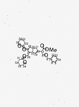 COC(=O)C(COCc1ccccc1)C1=CC2C(C1)C[C@@H](OC1CCCCO1)[C@@H]2COC1CCCCO1